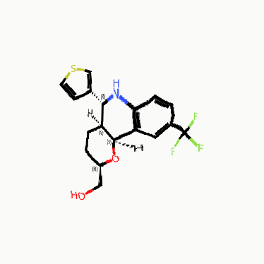 OC[C@H]1CC[C@@H]2[C@H](O1)c1cc(C(F)(F)F)ccc1N[C@H]2c1ccsc1